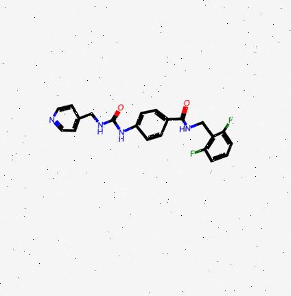 O=C(NCc1ccncc1)Nc1ccc(C(=O)NCc2c(F)cccc2F)cc1